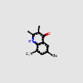 CCC(C)c1cc([N+](=O)[O-])c2[nH]c(C)c(C)c(=O)c2c1